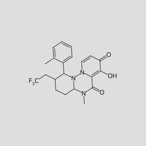 Cc1ccccc1C1C(CC(F)(F)F)CCC2N(C)C(=O)c3c(O)c(=O)ccn3N12